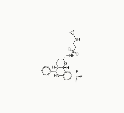 O=S(=O)(CCNC1CC1)NC[C@H]1CC[C@@H]2[C@H](O1)c1cc(C(F)(F)F)ccc1N[C@H]2c1ccccc1